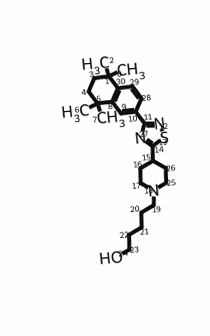 CC1(C)CCC(C)(C)c2cc(-c3nsc(C4CCN(CCCCCO)CC4)n3)ccc21